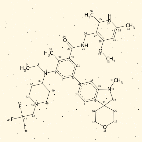 CCN(c1cc(-c2ccc3c(c2)N(C)CC32CCOCC2)cc(C(=O)NCC2=C(OC)C=C(C)NC2C)c1C)C1CCN(CC(F)(F)F)CC1